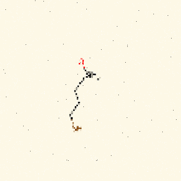 [O][SiH2]CCCS